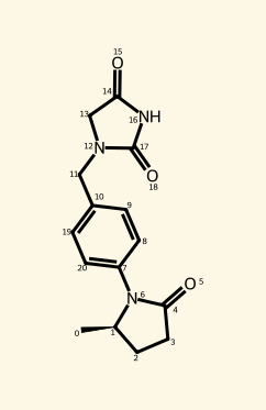 C[C@@H]1CCC(=O)N1c1ccc(CN2CC(=O)NC2=O)cc1